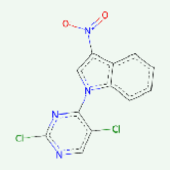 O=[N+]([O-])c1cn(-c2nc(Cl)ncc2Cl)c2ccccc12